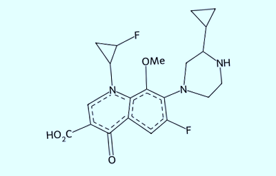 COc1c(N2CCNC(C3CC3)C2)c(F)cc2c(=O)c(C(=O)O)cn(C3CC3F)c12